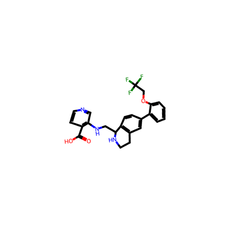 O=C(O)c1ccncc1NCC1NCCc2cc(-c3ccccc3OCC(F)(F)F)ccc21